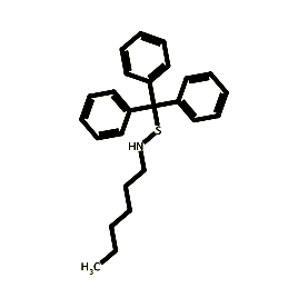 CCCCCCNSC(c1ccccc1)(c1ccccc1)c1ccccc1